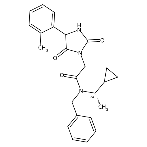 Cc1ccccc1C1NC(=O)N(CC(=O)N(Cc2ccccc2)[C@@H](C)C2CC2)C1=O